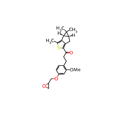 COc1cc(OCC2CO2)ccc1CCC(=O)c1sc(C)c2c1C[C@@H]1[C@H]2C1(C)C